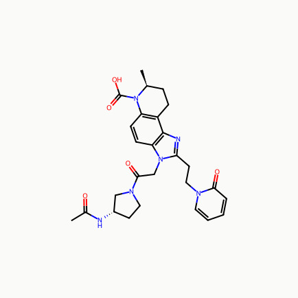 CC(=O)N[C@H]1CCN(C(=O)Cn2c(CCn3ccccc3=O)nc3c4c(ccc32)N(C(=O)O)[C@@H](C)CC4)C1